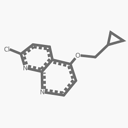 Clc1ccc2c(OCC3CC3)ccnc2n1